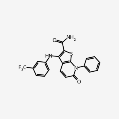 NC(=O)c1sc2c(ccc(=O)n2-c2ccccc2)c1Nc1cccc(C(F)(F)F)c1